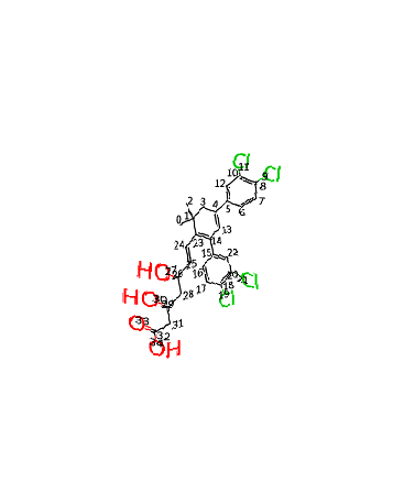 CC1(C)CC(c2ccc(Cl)c(Cl)c2)=CC(c2ccc(Cl)c(Cl)c2)=C1/C=C/C(O)CC(O)CC(=O)O